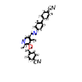 Cc1ncc(C=Nc2ccc(-c3ccc(C#N)cc3)cc2)c(C)c1OCc1ccc(C#N)cc1